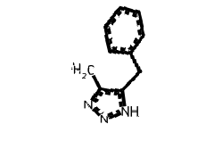 [CH2]c1nn[nH]c1Cc1ccccc1